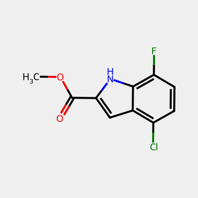 COC(=O)c1cc2c(Cl)ccc(F)c2[nH]1